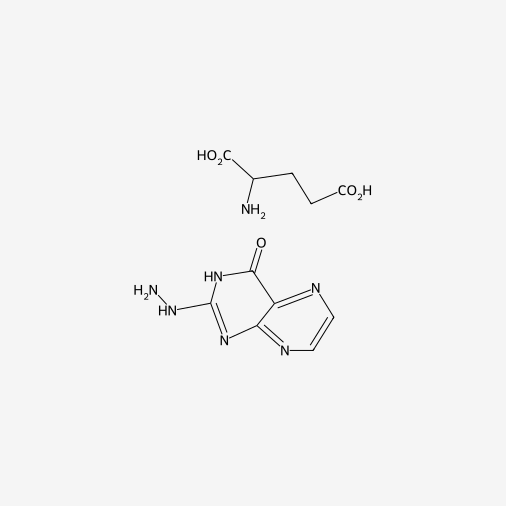 NC(CCC(=O)O)C(=O)O.NNc1nc2nccnc2c(=O)[nH]1